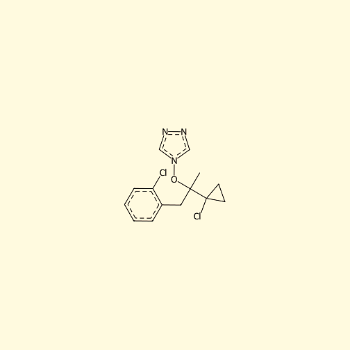 CC(Cc1ccccc1Cl)(On1cnnc1)C1(Cl)CC1